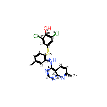 Cc1ccc(Sc2cc(Cl)c(O)c(Cl)c2)c(Nc2ncnc3nc(C(C)C)ccc23)c1